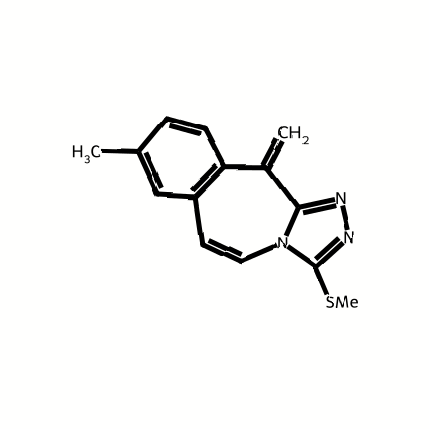 C=C1c2ccc(C)cc2C=Cn2c(SC)nnc21